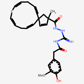 COc1cc(CC(=O)NC(=N)NNC(=O)C2(C)C=CC3(/C=C\C/C=C\C/C=C\C/C=C\3)C2)ccc1O